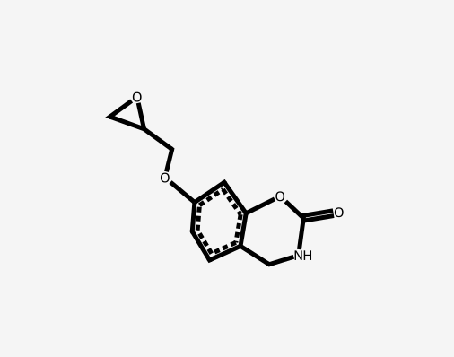 O=C1NCc2ccc(OCC3CO3)cc2O1